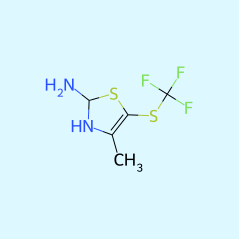 CC1=C(SC(F)(F)F)SC(N)N1